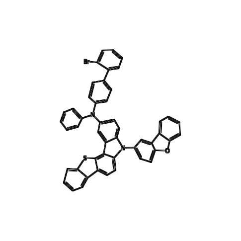 Brc1ccccc1-c1ccc(N(c2ccccc2)c2ccc3c(c2)c2c4sc5ccccc5c4ccc2n3-c2ccc3oc4ccccc4c3c2)cc1